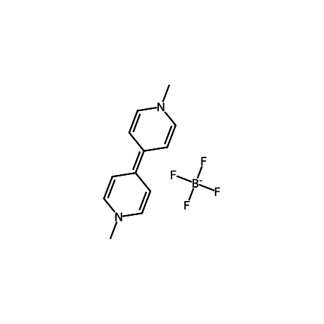 CN1C=CC(=C2C=CN(C)C=C2)C=C1.F[B-](F)(F)F